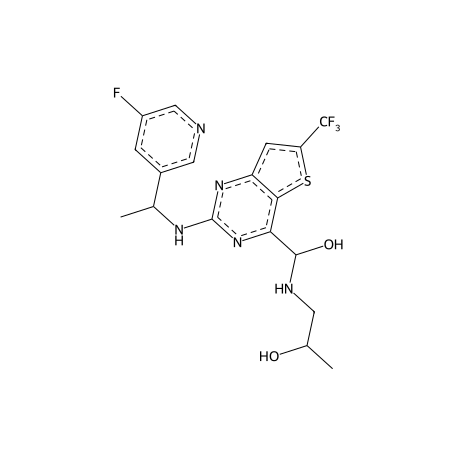 CC(O)CNC(O)c1nc(NC(C)c2cncc(F)c2)nc2cc(C(F)(F)F)sc12